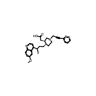 COc1ccc2nccc(C(F)CC[C@@H]3CCN(CC#Cc4cccnn4)C[C@@H]3CC(=O)O)c2c1